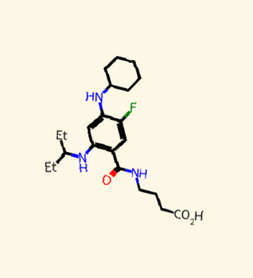 CCC(CC)Nc1cc(NC2CCCCC2)c(F)cc1C(=O)NCCCC(=O)O